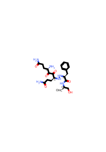 NC(=O)CC[C@H](NN[C@@H](Cc1ccccc1)C(=O)N[C@H](C=O)CO)C(=O)C(=O)[C@@H](N)CCC(N)=O